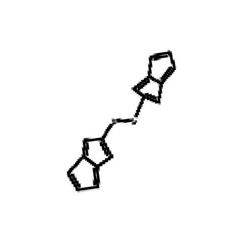 C1=CC2=CC(SSC3=CC4=CC=CC4=C3)=CC2=C1